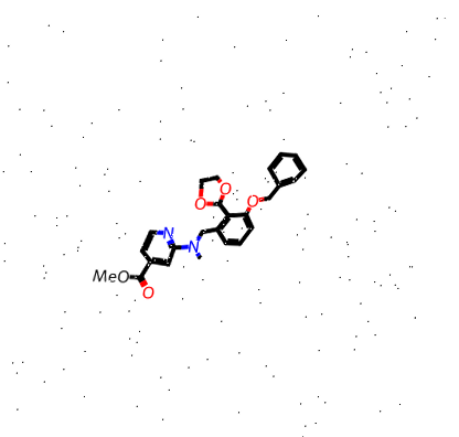 COC(=O)c1ccnc(N(C)Cc2cccc(OCc3ccccc3)c2C2OCCO2)c1